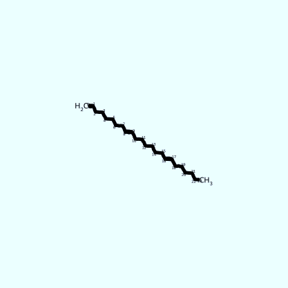 C=CCCCCCCC=CCCCCCCC=CCCCCCC